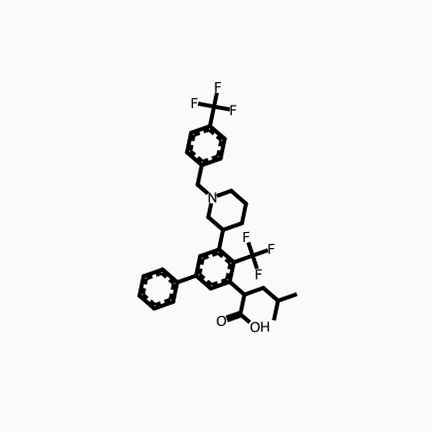 CC(C)CC(C(=O)O)c1cc(-c2ccccc2)cc(C2CCCN(Cc3ccc(C(F)(F)F)cc3)C2)c1C(F)(F)F